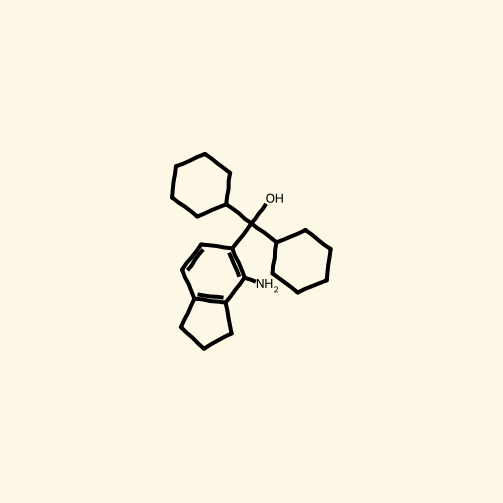 Nc1c(C(O)(C2CCCCC2)C2CCCCC2)ccc2c1CCC2